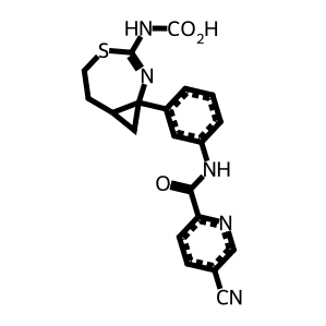 N#Cc1ccc(C(=O)Nc2cccc(C34CC3CCSC(NC(=O)O)=N4)c2)nc1